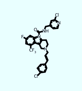 O=C(NCc1ccnc(Cl)c1)n1c2c(c3c(C(F)(F)F)cc(F)cc31)CN(CC=Cc1ccc(Cl)cc1)CC2